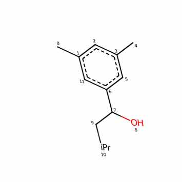 Cc1cc(C)cc(C(O)CC(C)C)c1